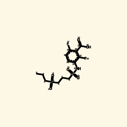 CCCS(=O)(=O)CCCS(=O)(=O)Nc1ccc(F)c(C(=O)O)c1F